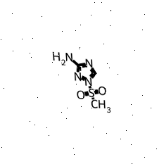 CS(=O)(=O)n1cnc(N)n1